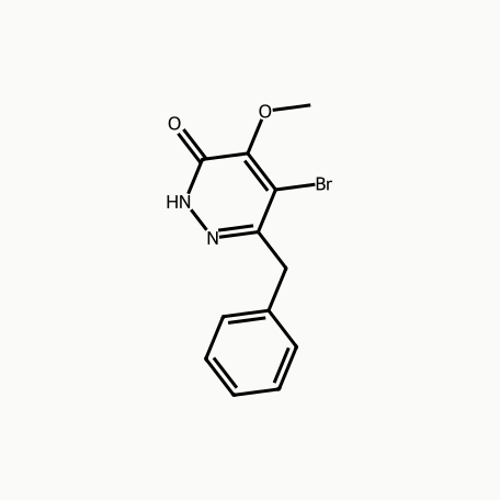 COc1c(Br)c(Cc2ccccc2)n[nH]c1=O